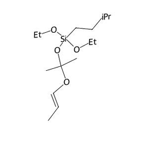 CC=COC(C)(C)O[Si](CCC(C)C)(OCC)OCC